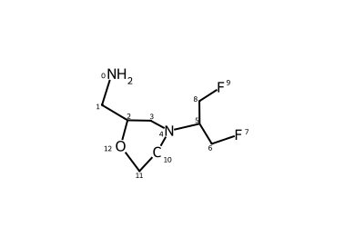 NCC1CN(C(CF)CF)CCO1